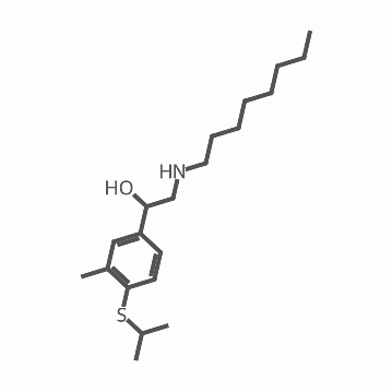 CCCCCCCCNCC(O)c1ccc(SC(C)C)c(C)c1